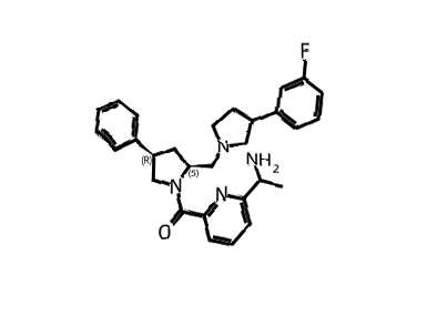 CC(N)c1cccc(C(=O)N2C[C@@H](c3ccccc3)C[C@H]2CN2CCC(c3cccc(F)c3)C2)n1